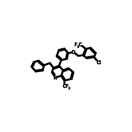 FC(F)(F)c1ccc(Cl)cc1COc1cccc(-c2c(Cc3ccccc3)cnc3c(C(F)(F)F)cccc23)c1